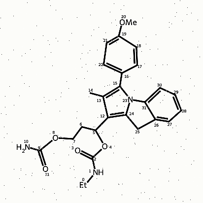 CCNC(=O)OC(CCOC(N)=O)c1c(C)c(-c2ccc(OC)cc2)n2c1Cc1ccccc1-2